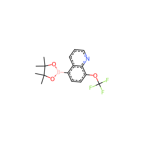 CC1(C)OB(c2ccc(OC(F)(F)F)c3ncccc23)OC1(C)C